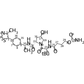 Cc1ncsc1-c1ccc([C@H](C)NC(=O)[C@@H]2C[C@@H](O)CN2C(=O)[C@@H](NC(=O)CCCOC(N)=O)C(C)(C)C)cc1